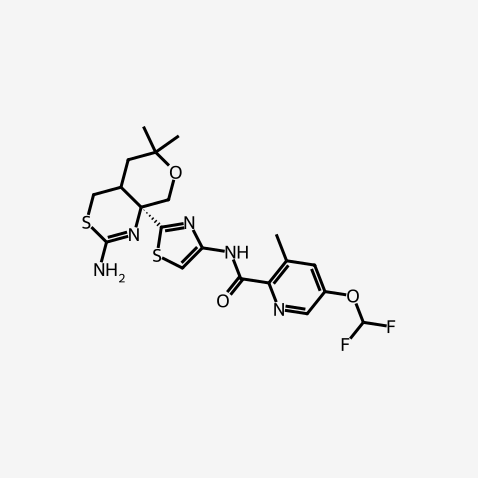 Cc1cc(OC(F)F)cnc1C(=O)Nc1csc([C@@]23COC(C)(C)CC2CSC(N)=N3)n1